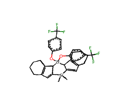 C[Si]1(C)C2=CC3=C(CCCC3)[CH]2[Zr]([O]c2ccc(C(F)(F)F)cc2)([O]c2ccc(C(F)(F)F)cc2)[CH]2C1=CC1=C2CCCC1